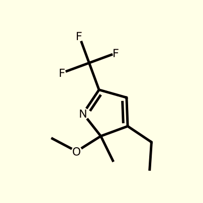 CCC1=CC(C(F)(F)F)=NC1(C)OC